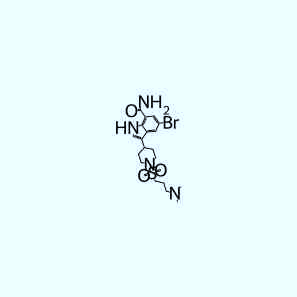 CN(C)CCCS(=O)(=O)N1CCC(c2c[nH]c3c(C(N)=O)cc(Br)cc23)CC1